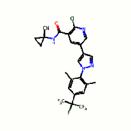 Cc1cc(C(F)(C(F)(F)F)C(F)(F)F)cc(C)c1-n1cc(-c2cnc(Cl)c(C(=O)NC3(C#N)CC3)c2)cn1